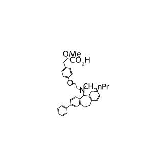 CCCc1ccc2c(c1)C(N(C)CCOc1ccc(CC(OC)C(=O)O)cc1)c1ccc(-c3ccccc3)cc1CC2